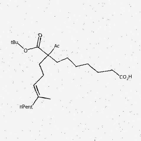 CCCCCC(C)=CCCC(CCCCCCC(=O)O)(C(C)=O)C(=O)OC(C)(C)C